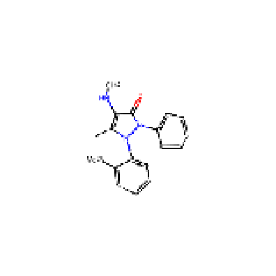 COc1ccccc1-n1c(C)c(NC=O)c(=O)n1-c1ccccc1